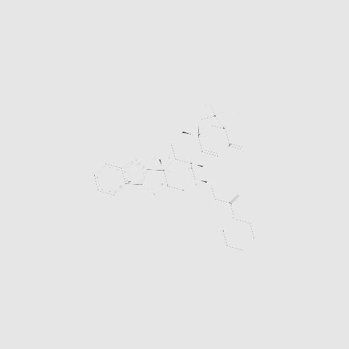 CC1(C)O[C@@]23CC[C@]4(C)[C@@]5(C)c6[nH]c7ccccc7c6C[C@@H]5C[C@H](OCC(=O)N5CCCCC5)[C@@]4(O)C2=CC(=O)C1O3